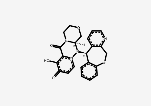 O=C1c2c(O)c(=O)ccn2N([C@@H]2c3ccccc3SCc3ncccc32)[C@@H]2COCCN12